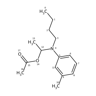 CCCCN(c1cccc(C)c1)C(C)OC(C)=O